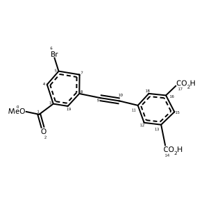 COC(=O)c1cc(Br)cc(C#Cc2cc(C(=O)O)cc(C(=O)O)c2)c1